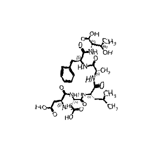 CC(C)C[C@H](NC(=O)[C@H](CC(=O)O)NC(=O)[C@@H](N)CC(=O)O)C(=O)N[C@@H](C)C(=O)N[C@@H](Cc1ccccc1)C(=O)N[C@H](C(=O)O)[C@@H](C)O